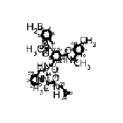 Bc1ccc(CN(c2cc(C(=O)N[C@H](CN[C@@H](C)C(=O)NCC3CC3)Cc3ccccn3)cc(C(=O)N[C@H](C)c3ccc(C)cc3)c2)S(C)(=O)=O)cc1